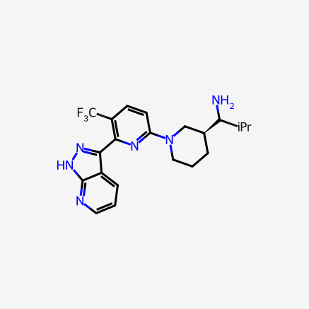 CC(C)C(N)[C@H]1CCCN(c2ccc(C(F)(F)F)c(-c3n[nH]c4ncccc34)n2)C1